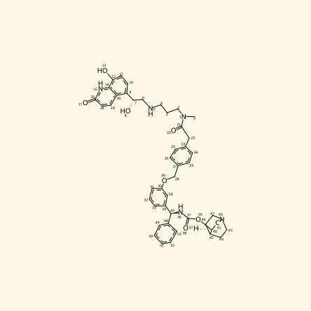 CN(CCCNC[C@H](O)c1ccc(O)c2[nH]c(=O)ccc12)C(=O)Cc1ccc(COc2cccc([C@@H](NC(=O)O[C@H]3CN4CCC3CC4)c3ccccc3)c2)cc1